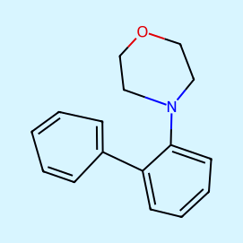 c1ccc(-c2ccccc2N2CCOCC2)cc1